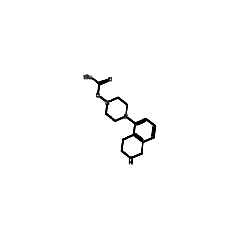 CC(C)(C)C(=O)ON1CCN(c2cccc3c2CCNC3)CC1